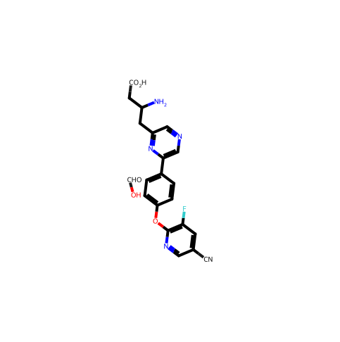 N#Cc1cnc(Oc2ccc(-c3cncc(CC(N)CC(=O)O)n3)cc2)c(F)c1.O=CO